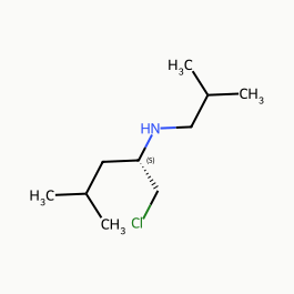 CC(C)CN[C@H](CCl)CC(C)C